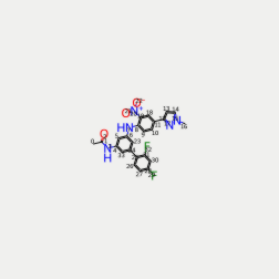 CC(=O)Nc1cc(Nc2ccc(-c3ccn(C)n3)cc2[N+](=O)[O-])cc(-c2ccc(F)cc2F)c1